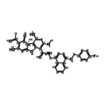 COc1cc(O)c2c(c1C(=O)NCc1ccc(OCc3ccc(F)cc3)c3ccccc13)OC1=CC(O)=C(C(C)=O)C(=O)[C@]12C